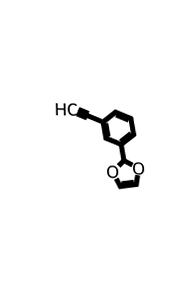 C#Cc1cccc(C2OC=CO2)c1